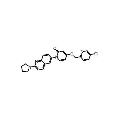 O=c1cc(OCc2ccc(Cl)cn2)ccn1-c1ccc2nc(N3CCCC3)ccc2c1